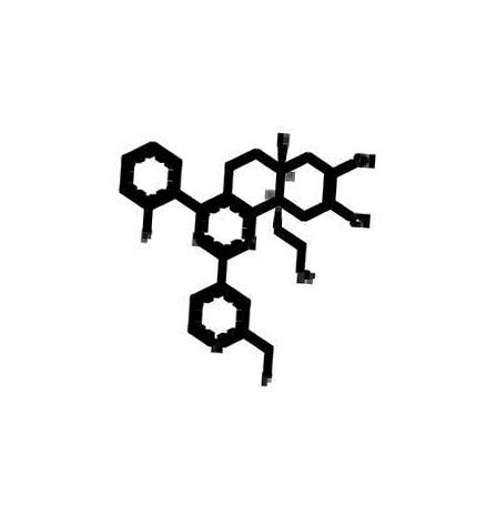 CC(C)CC[C@@]12CC(C#N)=C(O)C[C@H]1CCc1c(-c3ccccc3F)nc(-c3ccnc(CF)c3)nc12